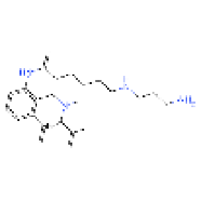 C=Cc1cccc(NC(=C)CCCCCNCCCN)c1CN(C)C(CCC)C(=C)C